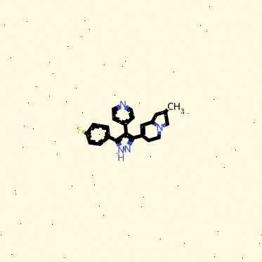 CC1CC2C=C(c3n[nH]c(-c4ccc(F)cc4)c3-c3ccncc3)CCN2C1